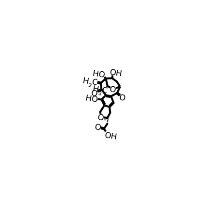 C=C1C(=O)c2c(cc3c(c2O)CO[C@@H](CC(=O)O)C3)C(=O)C2CC(O)C1(O)C(C)O2